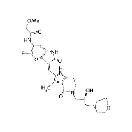 COCC(=O)Nc1cc2c(cc1F)C(=Cc1[nH]c3c(c1C)C(=O)N(C[C@@H](O)CN1CCOCC1)CC3)C(=O)N2